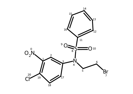 O=[N+]([O-])c1cc(N(CCBr)S(=O)(=O)c2ccccc2)ccc1Cl